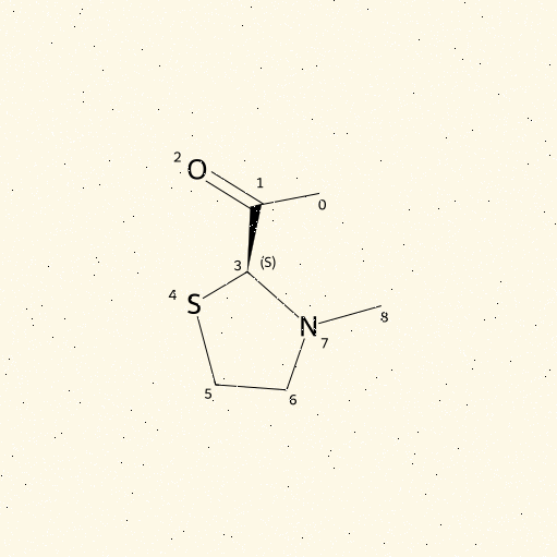 CC(=O)[C@@H]1SCCN1C